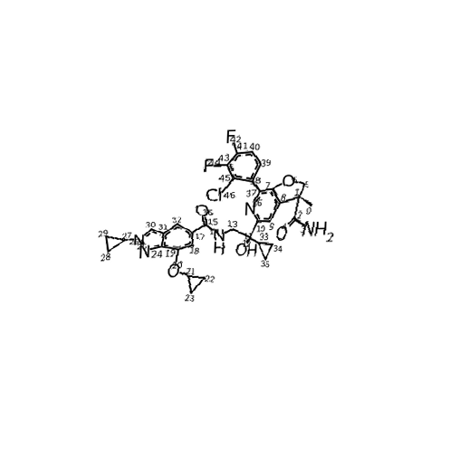 C[C@]1(C(N)=O)COc2c1cc([C@@](O)(CNC(=O)c1cc(OC3CC3)c3nn(C4CC4)cc3c1)C1CC1)nc2-c1ccc(F)c(F)c1Cl